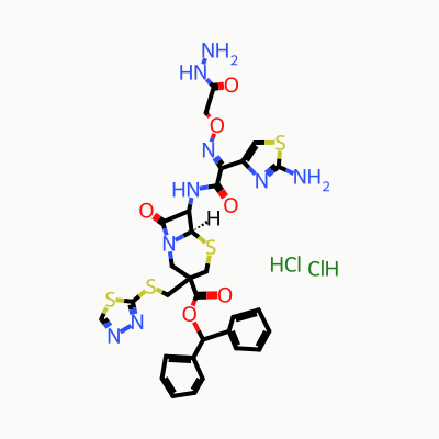 Cl.Cl.NNC(=O)CON=C(C(=O)NC1C(=O)N2CC(CSc3nncs3)(C(=O)OC(c3ccccc3)c3ccccc3)CS[C@H]12)c1csc(N)n1